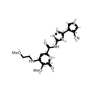 COCCNc1cc(C(=O)Nc2nnc(-c3cscc3C#N)s2)oc(=O)c1OC